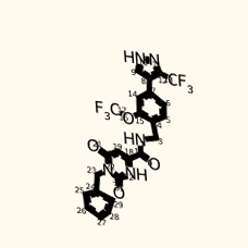 O=C(NCc1ccc(-c2c[nH]nc2C(F)(F)F)cc1OC(F)(F)F)c1cc(=O)n(Cc2ccccc2)c(=O)[nH]1